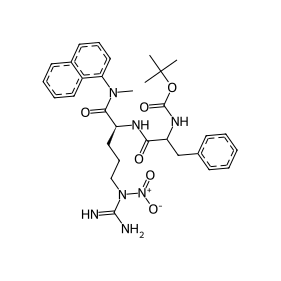 CN(C(=O)[C@H](CCCN(C(=N)N)[N+](=O)[O-])NC(=O)C(Cc1ccccc1)NC(=O)OC(C)(C)C)c1cccc2ccccc12